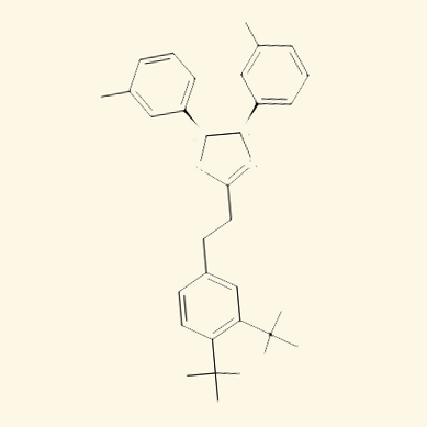 Fc1cccc([C@H]2N=C(CCc3ccc(C(F)(F)F)c(C(F)(F)F)c3)N[C@H]2c2cccc(F)c2)c1